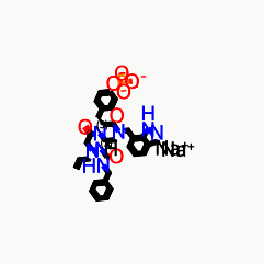 C=CCN1CC(=O)N2[C@@H](Cc3ccc(OP(=O)([O-])[O-])cc3)C(=O)N(Cc3cccc4cn[nH]c34)C[C@@H]2N1C(=O)NCc1ccccc1.[Na+].[Na+]